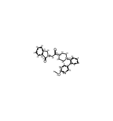 COc1ncc(-c2ccccc2N2CCN(C(=O)CN3Cc4ccccc4C3=O)CC2)cn1